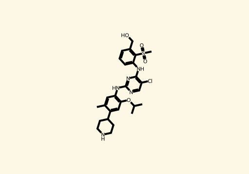 Cc1cc(Nc2ncc(Cl)c(Nc3cccc(CO)c3S(C)(=O)=O)n2)c(OC(C)C)cc1C1CCNCC1